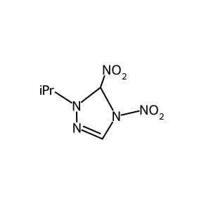 CC(C)N1N=CN([N+](=O)[O-])C1[N+](=O)[O-]